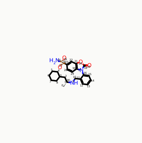 C[C@H](CC1CCCCC1)NCc1ccccc1-n1c(=O)oc2cc(S(N)(=O)=O)ccc21